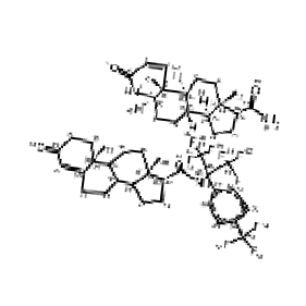 C[C@]12C=CC(=O)N[C@@H]1CC[C@@H]1[C@@H]2CC[C@]2(C)[C@@H](C(N)=O)CC[C@@H]12.C[C@]12CCC(=O)C=C1CCC1C2CC[C@@]2(C)C1CC[C@@H]2C(=O)NC(c1ccc(C(F)(F)F)cc1)(C(F)(F)F)C(F)(F)F